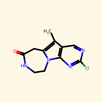 Cc1c2n(c3nc(Cl)ncc13)CCNC(=O)C2